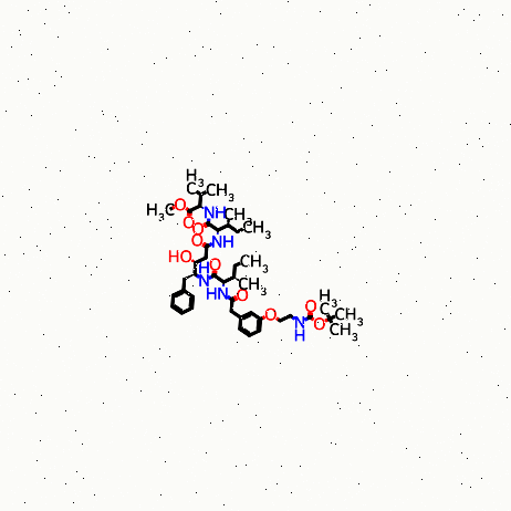 CC[C@H](C)[C@H](NC(=O)C[C@H](O)[C@H](Cc1ccccc1)NC(=O)[C@@H](NC(=O)Cc1cccc(OCCNC(=O)OC(C)(C)C)c1)[C@@H](C)CC)C(=O)N[C@H](C(=O)OC)C(C)C